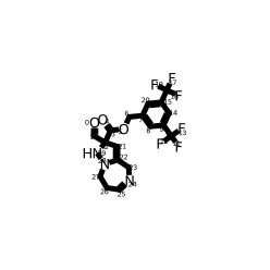 O=CC1(C(=O)OCc2cc(C(F)(F)F)cc(C(F)(F)F)c2)C=C2CN=CCCN2N1